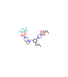 Cc1cc(CN2CCCC23CCN(C(=O)OC(C(F)(F)F)C(F)(F)F)CC3)cc(N2CCN(S(C)(=O)=O)CC2)c1